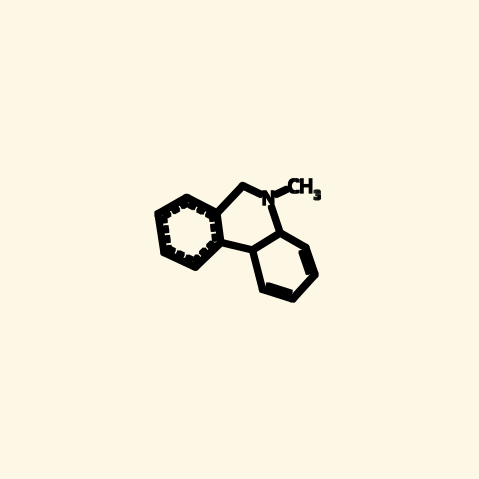 CN1Cc2ccccc2C2C=CC=CC21